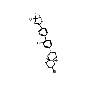 CCC1CC[C@@H]2C[C@H](c3ccc(-c4ccc(C5=NC(C)(C)CO5)cc4)c(F)c3)CC[C@@H]2C1